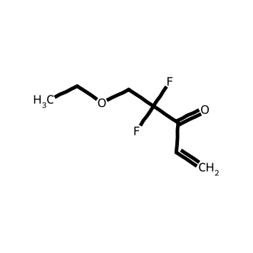 C=CC(=O)C(F)(F)COCC